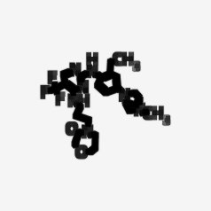 CCc1cc(N2CC3CC2CN3C)ccc1Nc1ncc(C(F)(F)F)c(NCCCN2CCCOCC2=O)n1